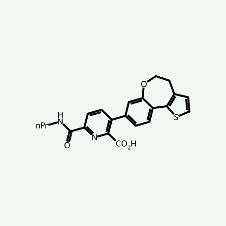 CCCNC(=O)c1ccc(-c2ccc3c(c2)OCCc2ccsc2-3)c(C(=O)O)n1